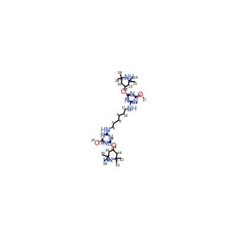 COc1nc(NCCCCCCNc2nc(OC)nc(OC3CC(C)(C)NC(C)(C)C3)n2)nc(OC2CC(C)(C)NC(C)(C)C2)n1